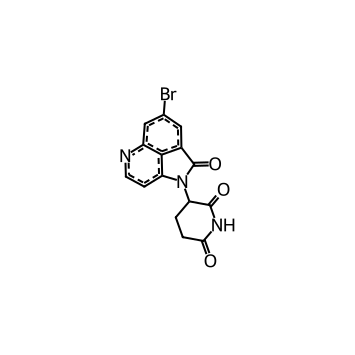 O=C1CCC(N2C(=O)c3cc(Br)cc4nccc2c34)C(=O)N1